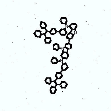 c1ccc(C(=C(c2ccccc2)c2ccc(-c3cccc(N(c4ccccc4)c4ccc5c6ccc(-c7ccc8c(c7)oc7cccc(N(c9ccccc9)c9cccc(-c%10ccc(C(=C(c%11ccccc%11)c%11ccccc%11)c%11ccccc%11)cc%10)c9)c78)cc6n(-c6ccccc6)c5c4)c3)cc2)c2ccccc2)cc1